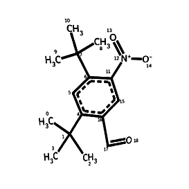 CC(C)(C)c1cc(C(C)(C)C)c([N+](=O)[O-])cc1C=O